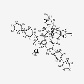 Cc1ccc(C2=Cc3c(cc(C)c(C)c3-c3ccc(-c4ccccc4)cc3)[CH]2[Zr+2]([CH]2C(c3ccc(C)o3)=Cc3c2cc(C)c(C)c3-c2ccc(-c3ccccc3)cc2)=[Si](C)C)o1.[Cl-].[Cl-]